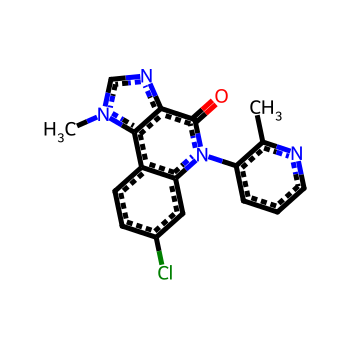 Cc1ncccc1-n1c(=O)c2ncn(C)c2c2ccc(Cl)cc21